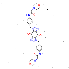 O=C(CN1CCOCC1)Nc1ccc(Cn2nnc3c2C(=O)c2nnn(Cc4ccc(NC(=O)CN5CCOCC5)cc4)c2C3=O)cc1